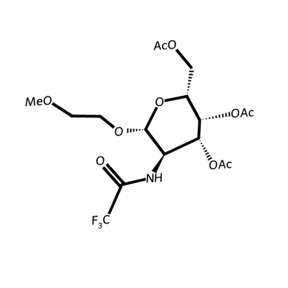 COCCO[C@@H]1O[C@H](COC(C)=O)[C@H](OC(C)=O)[C@H](OC(C)=O)[C@H]1NC(=O)C(F)(F)F